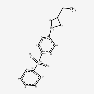 CCC1CN(c2ccc(S(=O)(=O)c3ccccc3)cc2)C1